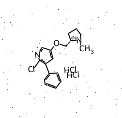 CN1CCC[C@@H]1COc1cnc(Cl)c(-c2ccccc2)c1.Cl.Cl